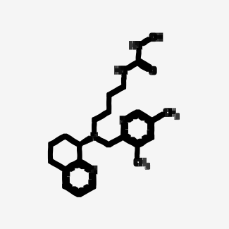 Cc1cnc(CN(CCCCNC(=O)NO)[C@@H]2CCCc3cccnc32)c(C)c1